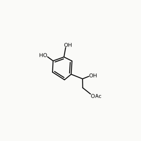 CC(=O)OCC(O)c1ccc(O)c(O)c1